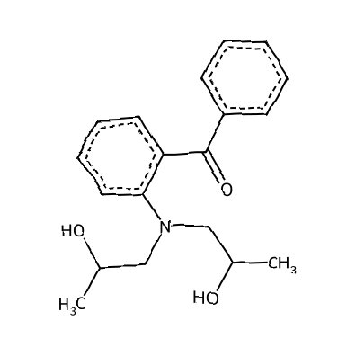 CC(O)CN(CC(C)O)c1ccccc1C(=O)c1ccccc1